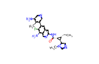 CC[C@H]1[C@@H](C(=O)Nc2cc3cc(-c4cncc(N)c4C)c(F)c(N)c3cn2)[C@@H]1c1cncn1C